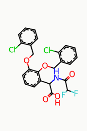 O=C(NC(C(=O)O)c1cccc(OCc2ccccc2Cl)c1OCc1ccccc1Cl)C(F)F